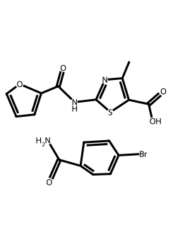 Cc1nc(NC(=O)c2ccco2)sc1C(=O)O.NC(=O)c1ccc(Br)cc1